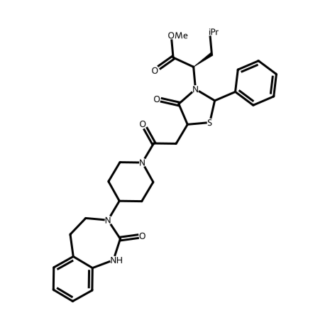 COC(=O)[C@@H](CC(C)C)N1C(=O)C(CC(=O)N2CCC(N3CCc4ccccc4NC3=O)CC2)SC1c1ccccc1